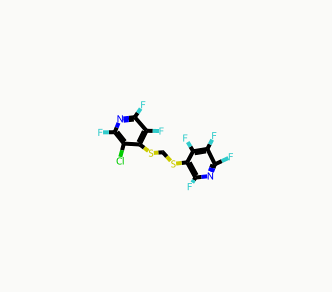 Fc1nc(F)c(SCSc2c(F)c(F)nc(F)c2Cl)c(F)c1F